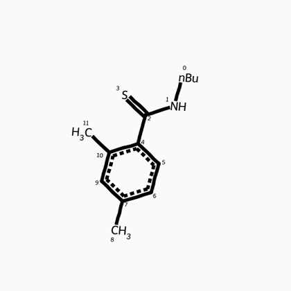 CCCCNC(=S)c1ccc(C)cc1C